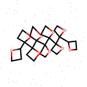 C1CC(C2(C3(C4(C5(C6(C7(C8(C9CCO9)CCO8)CCO7)CCO6)CCO5)CCO4)CCO3)CCO2)O1